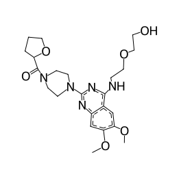 COc1cc2nc(N3CCN(C(=O)C4CCCO4)CC3)nc(NCCOCCO)c2cc1OC